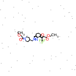 CCOC(=O)c1oc2c(c1C(F)(F)F)-c1nn(CC3CCN(C(=O)COC)CC3)cc1CC2